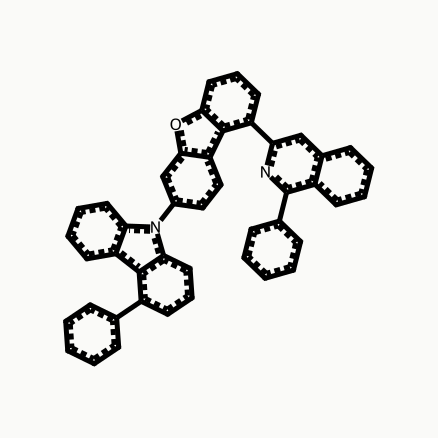 c1ccc(-c2nc(-c3cccc4oc5cc(-n6c7ccccc7c7c(-c8ccccc8)cccc76)ccc5c34)cc3ccccc23)cc1